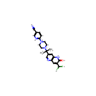 BC(B)(c1cnc2cc(C(F)F)c(=O)[nH]c2c1)N1CCN(c2ccc(C#N)cn2)CC1